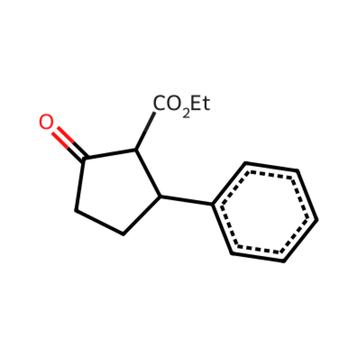 CCOC(=O)C1C(=O)CCC1c1ccccc1